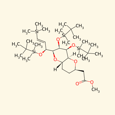 COC(=O)C[C@H]1CC[C@@H]2O[C@@H]([C@H](/C=C/[Si](C)(C)C)O[Si](C)(C)C(C)(C)C)[C@@H](O[Si](C)(C)C(C)(C)C)[C@@H](O[Si](C)(C)C(C)(C)C)[C@H]2O1